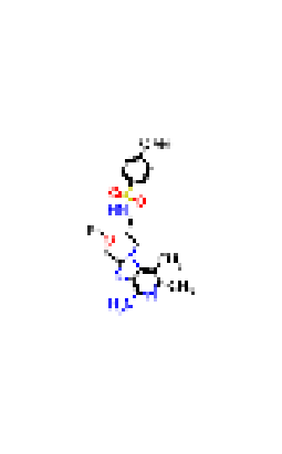 CCOCc1nc2c(N)nc(C)c(C)c2n1CCCNS(=O)(=O)c1ccc(OC)cc1